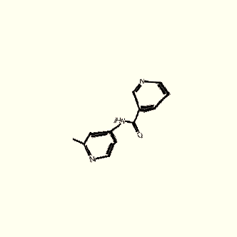 Cc1cc(NC(=O)c2cccnc2)ccn1